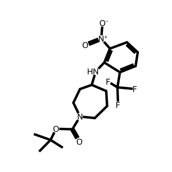 CC(C)(C)OC(=O)N1CCCC(Nc2c([N+](=O)[O-])cccc2C(F)(F)F)CC1